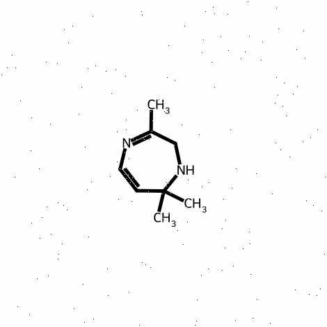 CC1=NC=CC(C)(C)NC1